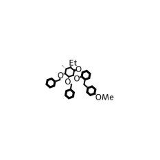 CC[C@H]1C(=O)[C@@H](Oc2ccccc2Cc2ccc(OC)cc2)[C@H](OCc2ccccc2)[C@@H](OCc2ccccc2)[C@@H]1C